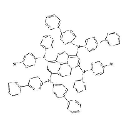 Brc1ccc(N(c2ccccc2)c2cc(N(c3ccc(-c4ccccc4)cc3)c3ccc(-c4ccccc4)cc3)c3ccc4c(N(c5ccccc5)c5ccc(Br)cc5)cc(N(c5ccc(-c6ccccc6)cc5)c5ccc(-c6ccccc6)cc5)c5ccc2c3c45)cc1